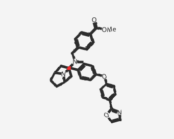 COC(=O)c1ccc(CN(C)C2CC3CCC(C2)N3Cc2ccc(Oc3ccc(-c4ncco4)cc3)cc2)cc1